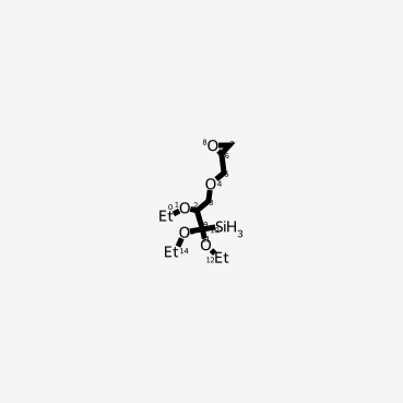 CCOC(COCC1CO1)C([SiH3])(OCC)OCC